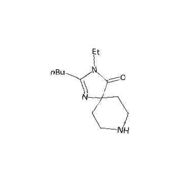 CCCCC1=NC2(CCNCC2)C(=O)N1CC